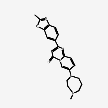 Cc1nc2ccc(-c3cc(=O)n4cc(N5CCCN(C)CC5)ccc4n3)cc2o1